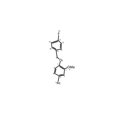 COc1cc(C(C)=O)ccc1OCc1ccc(F)cc1